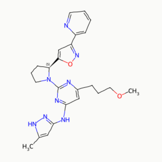 COCCCc1cc(Nc2cc(C)[nH]n2)nc(N2CCC[C@H]2c2cc(-c3ccccn3)no2)n1